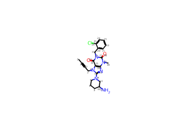 CC#CCn1c(N2CCCC(N)C2)nc2c1c(=O)n(Cc1ccccc1Cl)c(=O)n2C